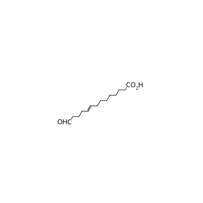 O=CCCCC=CCCCCCCCC(=O)O